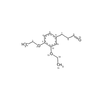 CCOc1ccc(CCC=O)cc1OCC